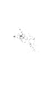 CC(C)(C)OC(=O)NC1CC(F)(F)c2cc(F)c(-c3nnc(C(C)(C)C#N)o3)cc2N(Cc2ccc(-n3cc(C(F)(F)F)cn3)nc2)C1=O